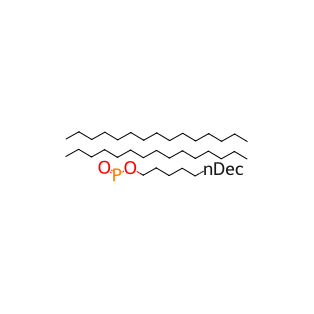 CCCCCCCCCCCCCCC.CCCCCCCCCCCCCCC.CCCCCCCCCCCCCCCOP=O